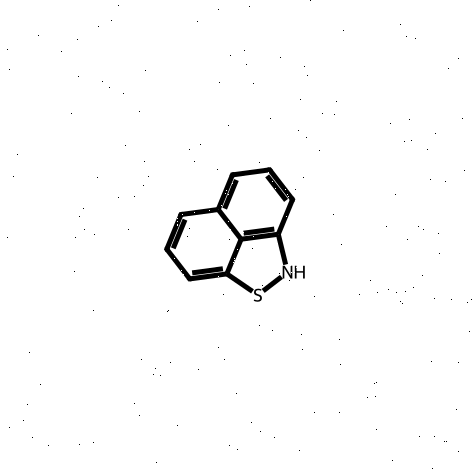 c1cc2c3c(cccc3c1)SN2